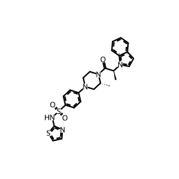 C[C@@H]1CN(c2ccc(S(=O)(=O)Nc3nccs3)cc2)CCN1C(=O)[C@H](C)n1ccc2ccccc21